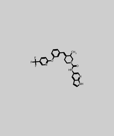 CC1CN(C(=O)Nc2cnc3[nH]ccc3c2)CC/C1=C\c1cccc(Oc2ccc(C(F)(F)F)cn2)c1